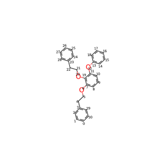 c1ccc(CCOc2cccc(Oc3ccccc3)c2OCCc2ccccc2)cc1